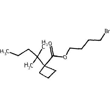 CCCC(C)(C)C1(C(=O)OCCCCBr)CCC1